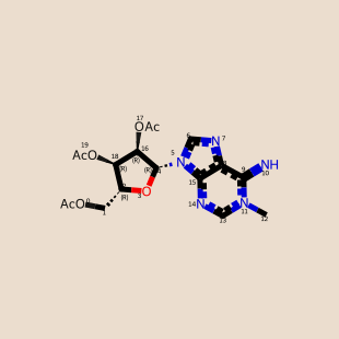 CC(=O)OC[C@H]1O[C@@H](n2cnc3c(=N)n(C)cnc32)[C@H](OC(C)=O)[C@@H]1OC(C)=O